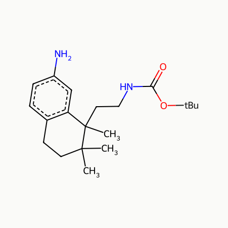 CC(C)(C)OC(=O)NCCC1(C)c2cc(N)ccc2CCC1(C)C